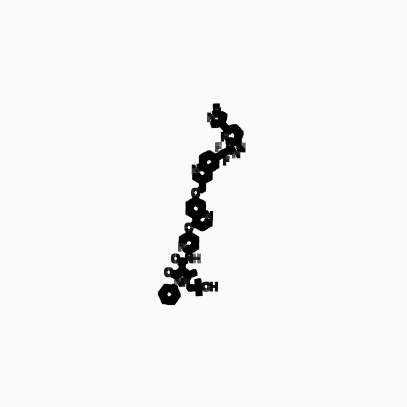 Cc1c(C(=O)Nc2ccc(Oc3ccnc4cc(OCc5cnc6ccc(C(F)(F)c7nnc8ccc(-c9cnn(C)c9)nn78)cc6c5)ccc34)cn2)c(=O)n(-c2ccccc2)n1CC(C)(C)O